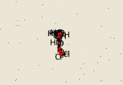 O=C(CCCc1ccc(N(CCCl)CCCl)cc1)NCCCCCC(O)(P(=O)(O)O)P(=O)(O)O